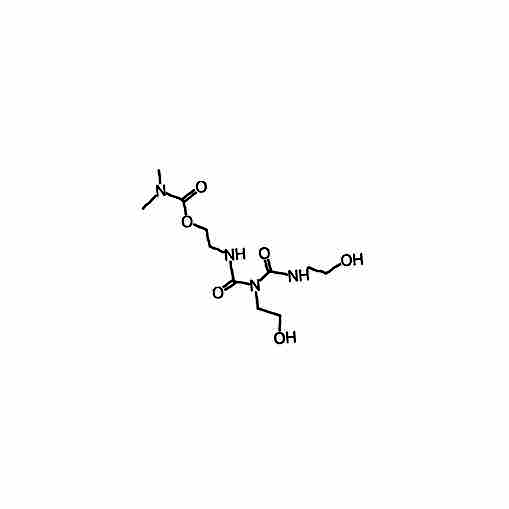 CN(C)C(=O)OCCNC(=O)N(CCO)C(=O)NCCO